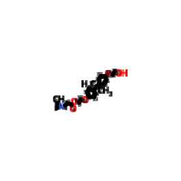 CC1CN1CCC(=O)OCCOc1ccc(C(C)(C)c2ccc(OCCO)cc2)cc1